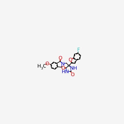 COc1ccc2c(c1)C(=O)N(C[C@@]1(c3cc4ccc(F)cc4o3)NC(=O)NC1=O)C2